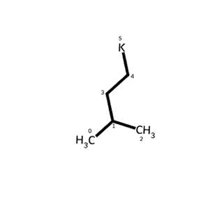 CC(C)C[CH2][K]